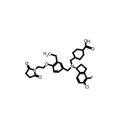 CCc1cc(CN(CC2CCC(C(=O)O)CC2)[C@H]2CCc3c2ccc(Cl)c3F)ccc1OCCN1C(=O)CCC1=O